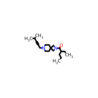 CCCC(CC)C(=O)N1CC2(CCN(CC#CC(C)C)CC2)C1